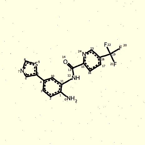 Nc1ccc(-c2cncs2)cc1NC(=O)c1ccc(C(F)(F)F)cn1